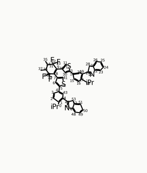 CC(C)c1ccc(-c2cc(C3=C(c4csc(-c5ccc(C(C)C)c(C6=Nc7ccccc7C6)c5)c4)C(F)(F)C(C)C(C)C3(F)F)cs2)cc1C1=Nc2ccccc2C1